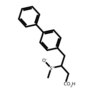 C[S+]([O-])C(CC(=O)O)Cc1ccc(-c2ccccc2)cc1